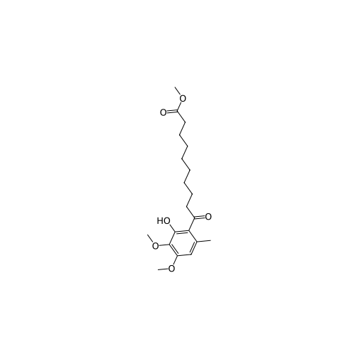 COC(=O)CCCCCCCCC(=O)c1c(C)cc(OC)c(OC)c1O